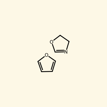 C1=NCCO1.c1ccoc1